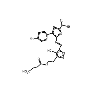 CCC(C)c1ccc(-c2nc(N(CC)CC)sc2/N=N/c2snc(CCOC(=O)CCC(=O)O)c2C#N)cc1